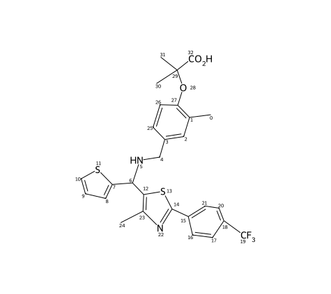 Cc1cc(CNC(c2cccs2)c2sc(-c3ccc(C(F)(F)F)cc3)nc2C)ccc1OC(C)(C)C(=O)O